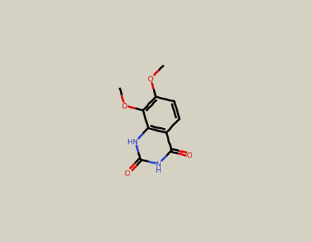 COc1ccc2c(=O)[nH]c(=O)[nH]c2c1OC